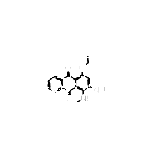 CCOc1cc(N)c(NC)c2c1C(=O)c1ccccc1C2=O